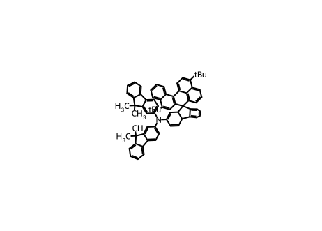 CC(C)(C)c1cc2c(c3ccccc13)-c1ccc(C(C)(C)C)c3cccc(c13)C21c2ccccc2C2C=CC(N(c3ccc4c(c3)C(C)(C)c3ccccc3-4)c3ccc4c(c3)C(C)(C)c3ccccc3-4)=CC21